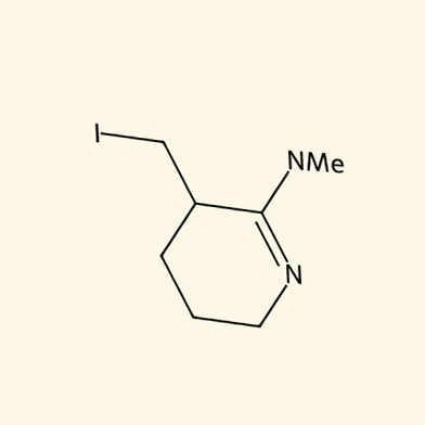 CNC1=NCCCC1CI